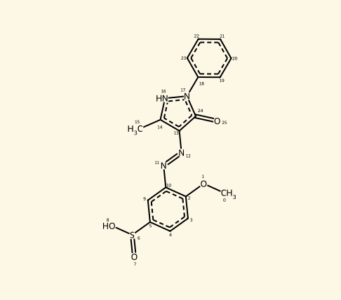 COc1ccc(S(=O)O)cc1N=Nc1c(C)[nH]n(-c2ccccc2)c1=O